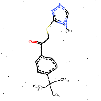 Cn1cnnc1SCC(=O)c1ccc(C(C)(C)C)cc1